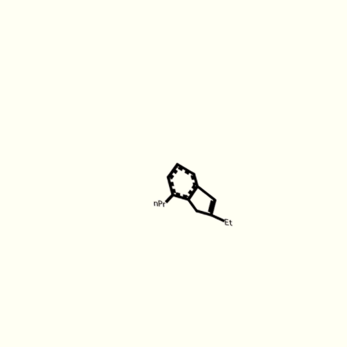 CCCc1cccc2c1CC(CC)=C2